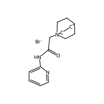 O=C(C[N+]12CCC(CC1)CC2)Nc1ccccn1.[Br-]